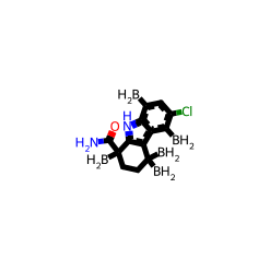 Bc1cc(Cl)c(B)c2c3c([nH]c12)C(B)(C(N)=O)CCC3(B)B